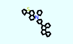 c1ccc(N(c2ccc(-c3cc4ccc5ccccc5c4c4ccccc34)cc2)c2cccc3c2ccc2sc4ccccc4c23)cc1